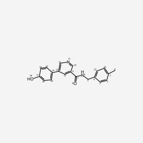 Cc1ccc(CNC(=O)c2cncc(-c3ccc(O)cc3)c2)cc1